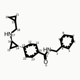 O=C(NCc1ccccc1)c1ccc([C@@H]2C[C@H]2NCC2CC2)cc1